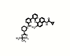 Cc1ccc2c(NC(=O)C3CC3)cccc2c1Oc1ncccc1-c1ccnc(N[C@H]2CCCN(C(=O)OC(C)(C)C)C2)n1